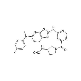 Cc1ccc(N(C)c2ccc3nc(Nc4cc(C(=O)N5CC[C@@H](NC=O)C5)ccn4)sc3n2)cc1